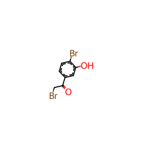 O=C(CBr)c1ccc(Br)c(O)c1